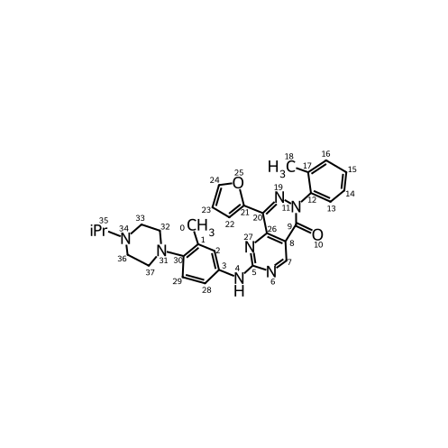 Cc1cc(Nc2ncc3c(=O)n(-c4ccccc4C)nc(-c4ccco4)c3n2)ccc1N1CCN(C(C)C)CC1